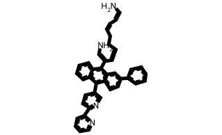 N/C=C\C=C/CC/C=C\C(=C/N)c1c2ccccc2c(-c2ccc(-c3ccccn3)nc2)c2ccc(-c3ccccc3)cc12